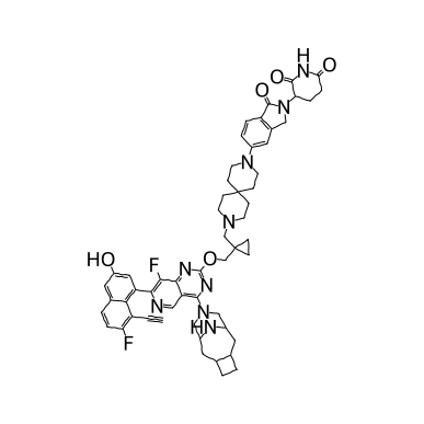 C#Cc1c(F)ccc2cc(O)cc(-c3ncc4c(N5CC6CC7CCC7CC(C5)N6)nc(OCC5(CN6CCC7(CC6)CCN(c6ccc8c(c6)CN(C6CCC(=O)NC6=O)C8=O)CC7)CC5)nc4c3F)c12